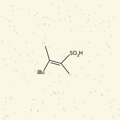 CCC(C)/C(C)=C(\C)S(=O)(=O)O